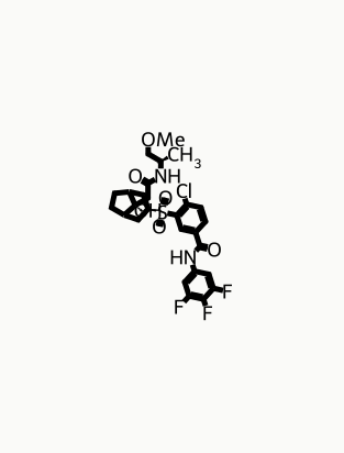 COC[C@@H](C)NC(=O)C[C@]1(O)C2CCC1C[C@@H](S(=O)(=O)c1cc(C(=O)Nc3cc(F)c(F)c(F)c3)ccc1Cl)C2